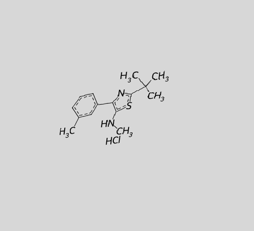 CNc1sc(C(C)(C)C)nc1-c1cccc(C)c1.Cl